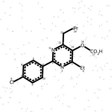 CCc1nc(-c2ccc(Cl)cc2)nc(CC(C)C)c1OC(=O)O